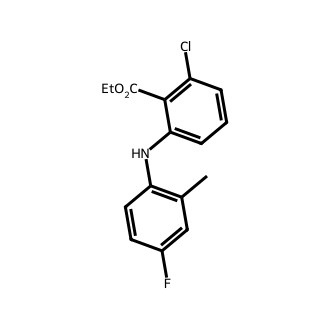 CCOC(=O)c1c(Cl)cccc1Nc1ccc(F)cc1C